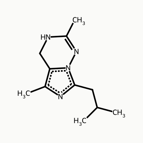 CC1=Nn2c(CC(C)C)nc(C)c2CN1